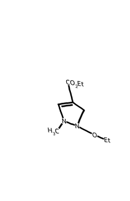 CCOC(=O)C1=CN(C)N(OCC)C1